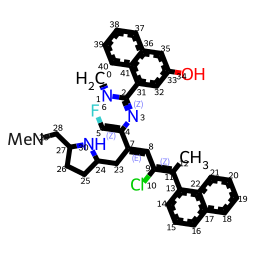 C=N\C(=N/C(=C\F)C(=C/C(Cl)=C(\C)c1cccc2ccccc12)/CC1CCC(CNC)N1)c1cc(O)cc2ccccc12